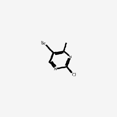 Cc1nc(Cl)ncc1Br